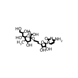 C[C@H]1C([C@H](O)[C@H](O)CO)OC(OCCC[C@H]2O[C@@H](n3ccc(N)nc3=O)C(O)[C@H]2O)(C(=O)O)C[C@H]1O